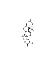 C[C@]12CCC(=O)C=C1C=CC1C2=CC[C@@]2(C)C1CC[C@@]21CC(F)C(=O)O1